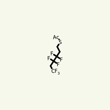 CC(=O)SCCC(F)(F)C(F)(F)CC(F)(F)F